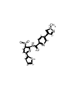 Cn1cc(-c2ccc(C(=O)Nc3nc(-c4cccs4)ccc3[N+](=O)[O-])nc2)cn1